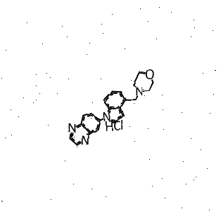 Cl.c1cc(CN2CCOCC2)c2ccn(-c3ccc4nccnc4c3)c2c1